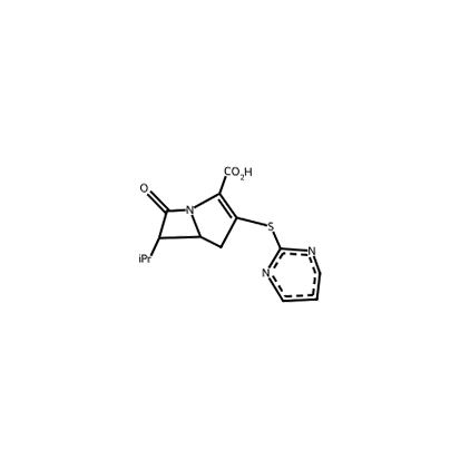 CC(C)C1C(=O)N2C(C(=O)O)=C(Sc3ncccn3)CC12